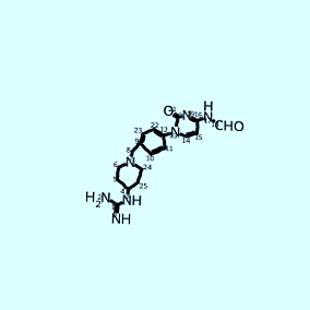 N=C(N)NC1CCN(Cc2ccc(-n3ccc(NC=O)nc3=O)cc2)CC1